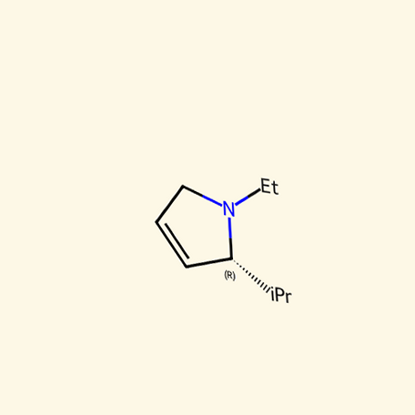 CCN1CC=C[C@H]1C(C)C